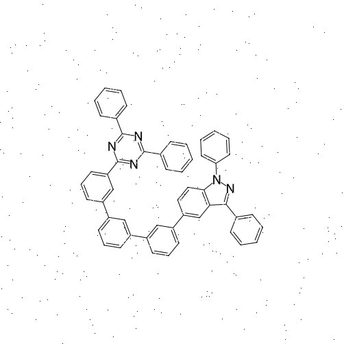 c1ccc(-c2nc(-c3ccccc3)nc(-c3cccc(-c4cccc(-c5cccc(-c6ccc7c(c6)c(-c6ccccc6)nn7-c6ccccc6)c5)c4)c3)n2)cc1